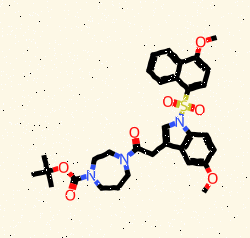 COc1ccc2c(c1)c(CC(=O)N1CCCN(C(=O)OC(C)(C)C)CC1)cn2S(=O)(=O)c1ccc(OC)c2ccccc12